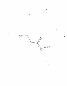 CCCCCC(=S)NO